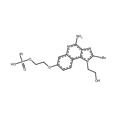 CCCCc1nc2c(N)nc3cc(OCCOP(=O)(O)C(C)C)ccc3c2n1CCO